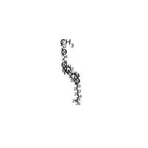 CCCCOCCCCOc1ccc(-c2ccc(OCCCCCCC3CC3)nc2)nn1